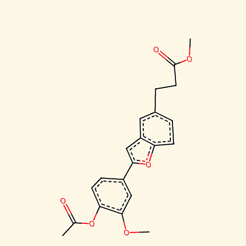 COC(=O)CCc1ccc2oc(-c3ccc(OC(C)=O)c(OC)c3)cc2c1